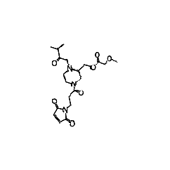 COCC(=O)OCC1CN(C(=O)CCN2C(=O)C=CC2=O)CCN1CC(=O)C(C)C